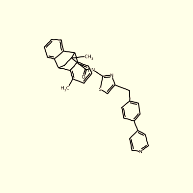 Cc1cccc2c1C1CC(C)(C(=O)Nc3nc(Cc4ccc(-c5ccncc5)cc4)cs3)C2c2ccccc21